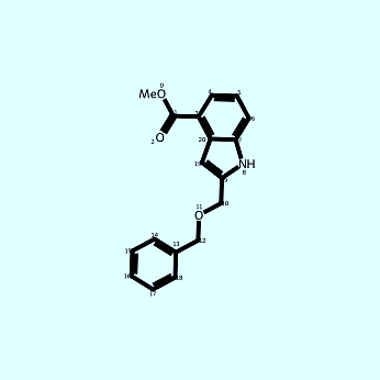 COC(=O)c1cccc2[nH]c(COCc3ccccc3)cc12